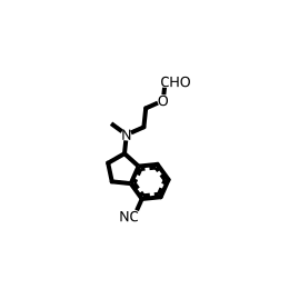 CN(CCOC=O)C1CCc2c(C#N)cccc21